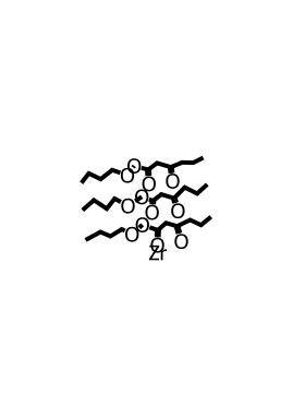 CCCCOOC(=O)CC(=O)CCC.CCCCOOC(=O)CC(=O)CCC.CCCCOOC(=O)CC(=O)CCC.[Zr]